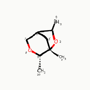 BC1O[C@@]2(C)CC1CO[C@H]2C